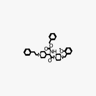 COc1ccccc1CN1CCN(C(=O)[C@@H](NC(=O)OCc2ccccc2)C2CCN(CCc3ccccc3)CC2)CC1